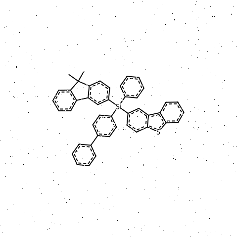 CC1(C)c2ccccc2-c2cc([Si](c3ccccc3)(c3ccc(-c4ccccc4)cc3)c3ccc4sc5ccccc5c4c3)ccc21